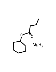 CCCC(=O)OC1CCCCC1.[MgH2]